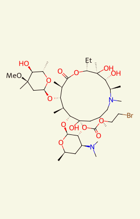 CC[C@H]1OC(=O)[C@H](C)[C@@H](O[C@H]2C[C@@](C)(OC)[C@@H](O)[C@H](C)O2)[C@H](C)[C@@H](O[C@@H]2O[C@H](C)C[C@H](N(C)C)[C@H]2OC(=O)OCCBr)[C@](C)(O)C[C@@H](C)CN(C)[C@H](C)[C@@H](O)[C@]1(C)O